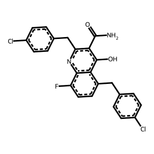 NC(=O)c1c(Cc2ccc(Cl)cc2)nc2c(F)ccc(Cc3ccc(Cl)cc3)c2c1O